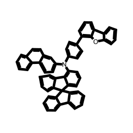 c1ccc2c(c1)-c1ccccc1C21c2ccccc2-c2c(N(c3ccc(-c4cccc5c4oc4ccccc45)cc3)c3ccc4c(ccc5ccccc54)c3)cccc21